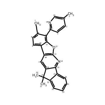 Cc1ccc(-c2c(C)ccc3c2oc2nc4c(cc23)C(C)(C)c2ccccc2-4)nc1